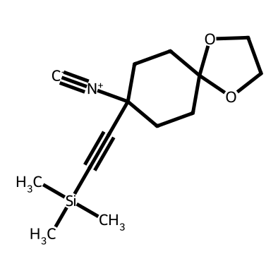 [C-]#[N+]C1(C#C[Si](C)(C)C)CCC2(CC1)OCCO2